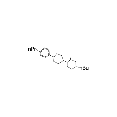 CCCCC1CCC(C2CCC(c3ccc(CCC)cc3)CC2)C(C)C1